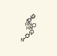 N#Cc1ccc(N2CCC[C@H](N[C@@H]3CCCC[C@H]3Nc3cc(-n4cccc4)ccn3)C2)cc1